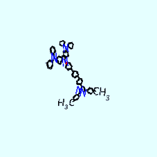 Cc1ccc(-c2cc(-c3ccc(-c4ccc(-c5ccc(-n6c7ccc(N(c8ccccc8)c8ccccc8)cc7c7cc(N(c8ccccc8)c8ccccc8)ccc76)cc5)cc4)cc3)nc(-c3ccc(C)cc3)n2)cc1